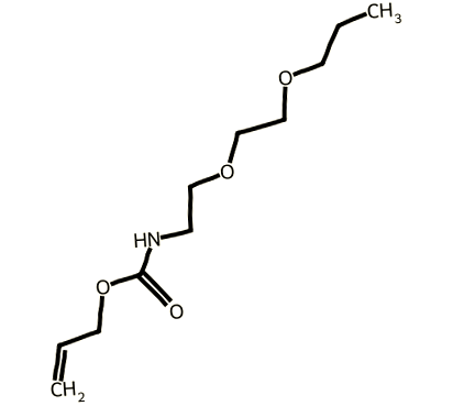 C=CCOC(=O)NCCOCCOCCC